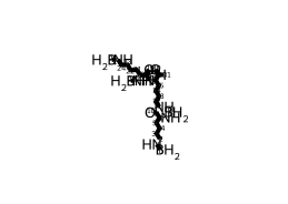 BNCCCCC(NB)C(=O)NCCCCC(NC(=O)C(CCCCNB)NB)C(=O)I